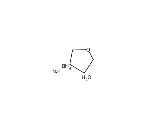 C1CCOC1.O.[BH4-].[Na+]